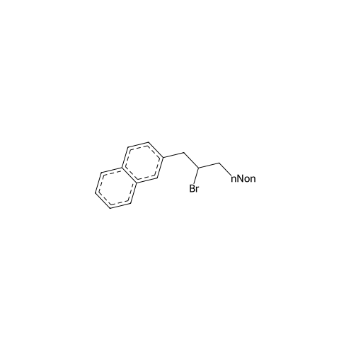 CCCCCCCCCCC(Br)Cc1ccc2ccccc2c1